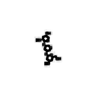 OC[C@H]1C[C@@H](O)C[C@@H](O[C@H]2COC[C@@H](O[C@H]3OC[C@@H](O)C[C@H]3O)C2)O1